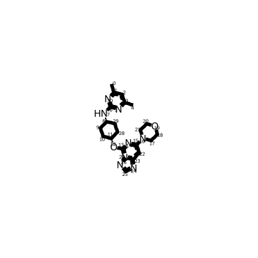 Cc1cc(C)nc(N[C@H]2CC[C@@H](Oc3nc(N4CCOCC4)cc4ncnn34)CC2)n1